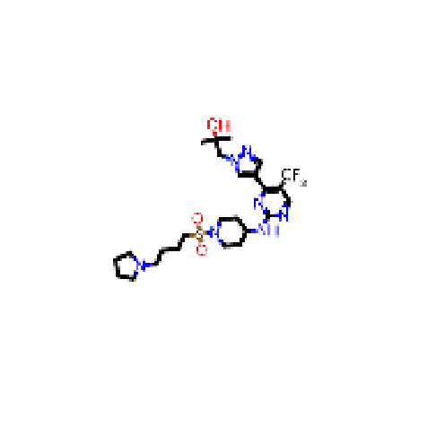 CC(C)(O)Cn1cc(-c2nc(NC3CCN(S(=O)(=O)CCCCN4CCCC4)CC3)ncc2C(F)(F)F)cn1